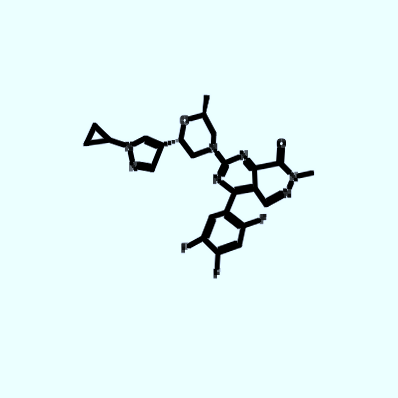 C[C@H]1CN(c2nc(-c3cc(F)c(F)cc3F)c3cnn(C)c(=O)c3n2)C[C@H](c2cnn(C3CC3)c2)O1